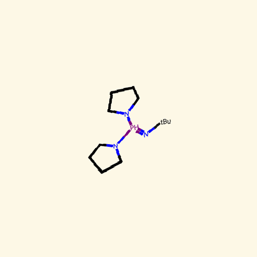 CC(C)(C)N=[PH](N1CCCC1)N1CCCC1